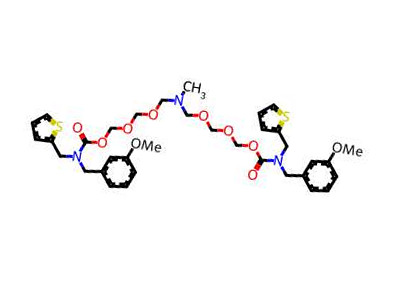 COc1cccc(CN(Cc2cccs2)C(=O)OCOCOCN(C)COCOCOC(=O)N(Cc2cccc(OC)c2)Cc2cccs2)c1